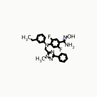 CCc1cccc(N(Cc2nc(-c3ccccc3)nn2C)c2cc(F)c(/C(N)=N/O)cc2F)c1